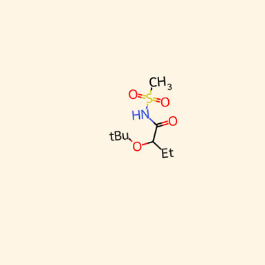 CCC(OC(C)(C)C)C(=O)NS(C)(=O)=O